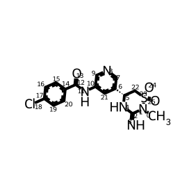 CN1C(=N)N[C@H](c2cncc(NC(=O)c3ccc(Cl)cc3)c2)CS1(=O)=O